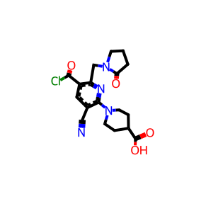 N#Cc1cc(C(=O)Cl)c(CN2CCCC2=O)nc1N1CCC(C(=O)O)CC1